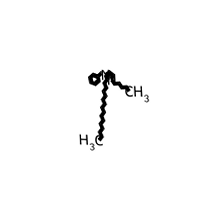 CCCCCCCCCCCCCCCC1N(CCCCC)C=CN1Cc1ccccc1